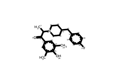 Cc1cc(C(=O)C(C)N2CCC(Cc3ccc(F)cc3)CC2)cc(C)c1O